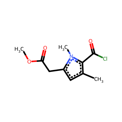 COC(=O)Cc1cc(C)c(C(=O)Cl)n1C